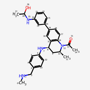 CNCc1ccc(N[C@@H]2C[C@H](C)N(C(C)=O)c3ccc(-c4cccc(NC(C)O)c4)cc32)cc1